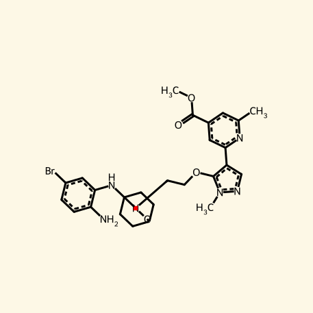 COC(=O)c1cc(C)nc(-c2cnn(C)c2OCCN2CC3CCC(Nc4cc(Br)ccc4N)(CC3)C2)c1